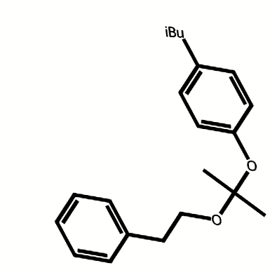 CCC(C)c1ccc(OC(C)(C)OCCc2ccccc2)cc1